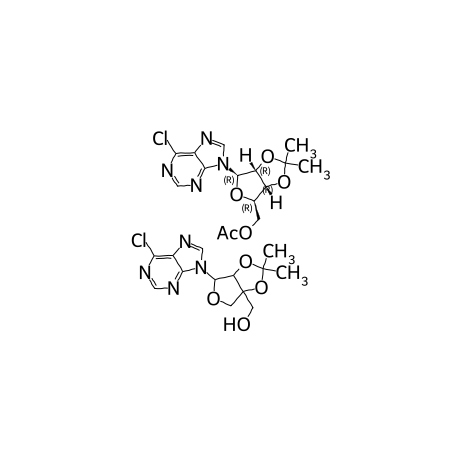 CC(=O)OC[C@H]1O[C@@H](n2cnc3c(Cl)ncnc32)[C@@H]2OC(C)(C)O[C@@H]21.CC1(C)OC2C(n3cnc4c(Cl)ncnc43)OCC2(CO)O1